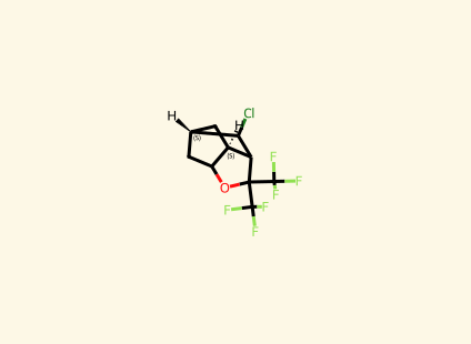 FC(F)(F)C1(C(F)(F)F)OC2C[C@@H]3C[C@H]2C1C3Cl